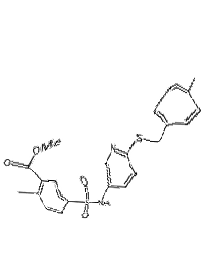 COC(=O)c1cc(S(=O)(=O)Nc2ccc(SCc3ccc(C)cc3)nc2)ccc1C